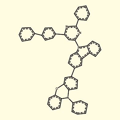 c1ccc(-c2ccc(-c3cc(-n4c5ccccc5c5cc(-c6ccc7c(c6)Oc6ccccc6N7c6ccccc6)ccc54)nc(-c4ccccc4)n3)cc2)cc1